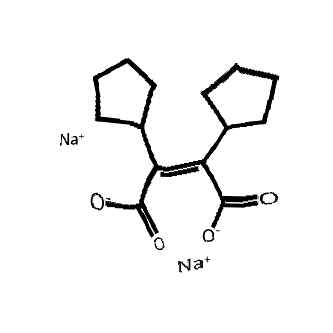 O=C([O-])/C(=C(\C(=O)[O-])C1CCCC1)C1CCCC1.[Na+].[Na+]